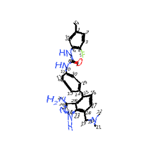 Cc1ccc(F)c(NC(=O)Nc2ccc(-c3ccc(CN(C)C)c4[nH]nc(N)c34)cc2)c1